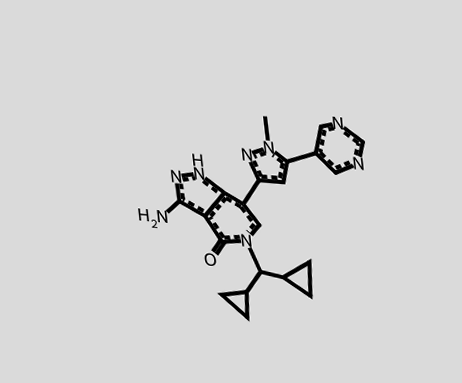 Cn1nc(-c2cn(C(C3CC3)C3CC3)c(=O)c3c(N)n[nH]c23)cc1-c1cncnc1